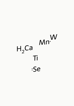 [CaH2].[Mn].[Se].[Ti].[W]